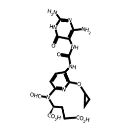 Nc1nc(N)c(NC(=O)Nc2ccc(N(C=O)[C@@H](CCC(=O)O)C(=O)O)nc2OC2CC2)c(=O)[nH]1